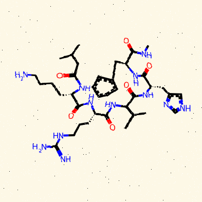 CNC(=O)[C@H](Cc1ccccc1)NC(=O)[C@H](Cc1c[nH]cn1)NC(=O)C(NC(=O)[C@H](CCCNC(=N)N)NC(=O)[C@H](CCCCN)NC(=O)CC(C)C)C(C)C